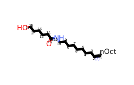 CCCCCCCC/C=C\CCCCCCCCNC(=O)CCCCCO